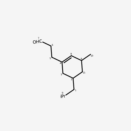 CC(C)CC1CC(CCC=O)=CC(C)C1